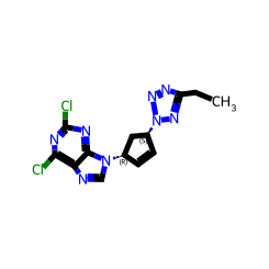 CCc1nnn([C@@H]2C=C[C@H](n3cnc4c(Cl)nc(Cl)nc43)C2)n1